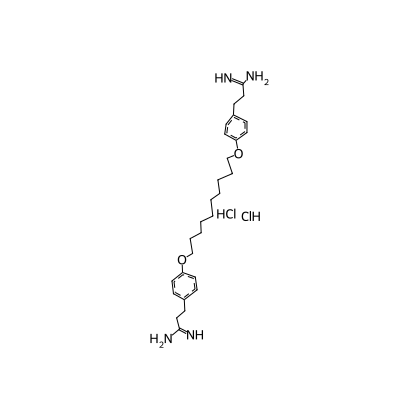 Cl.Cl.N=C(N)CCc1ccc(OCCCCCCCCCCOc2ccc(CCC(=N)N)cc2)cc1